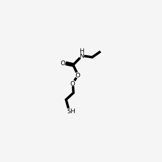 CCNC(=O)OOCCS